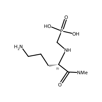 CNC(=O)[C@H](CCCN)NCP(=O)(O)O